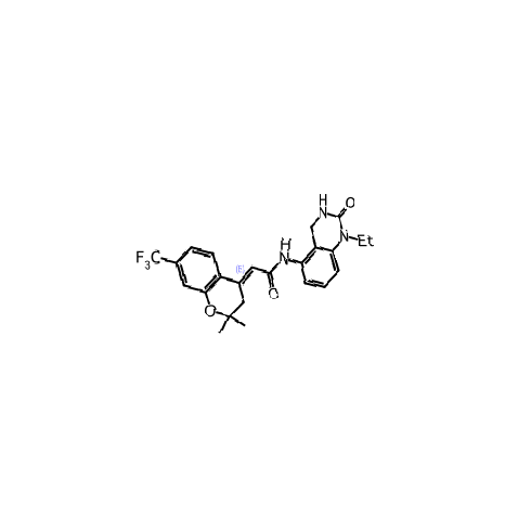 CCN1C(=O)NCc2c(NC(=O)/C=C3\CC(C)(C)Oc4cc(C(F)(F)F)ccc43)cccc21